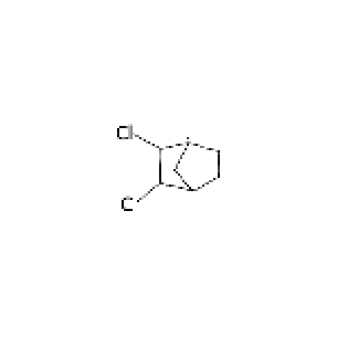 ClC1[C]2CCC(C2)C1Cl